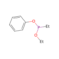 CCOP(CC)Oc1ccccc1